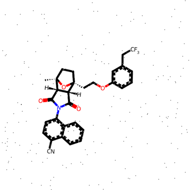 C[C@]12CC[C@](CCOc3cccc(CC(F)(F)F)c3)(O1)[C@@H]1C(=O)N(c3ccc(C#N)c4ccccc34)C(=O)[C@@H]12